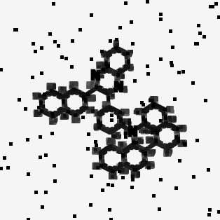 c1cc(-c2nc3ccccc3nc2-c2ccc3ccccc3c2)cc(N2c3c(ccc4ccccc34)-c3cccc4cccc2c34)c1